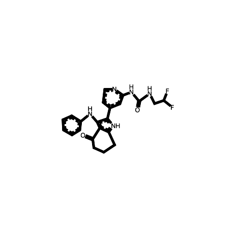 O=C(NCC(F)F)Nc1cc(-c2[nH]c3c(c2Nc2ccccc2)C(=O)CCC3)ccn1